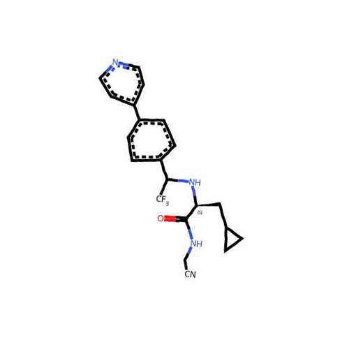 N#CCNC(=O)[C@H](CC1CC1)NC(c1ccc(-c2ccncc2)cc1)C(F)(F)F